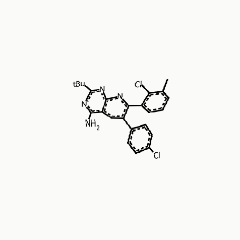 Cc1cccc(-c2nc3nc(C(C)(C)C)nc(N)c3cc2-c2ccc(Cl)cc2)c1Cl